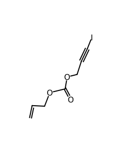 C=CCOC(=O)OCC#CI